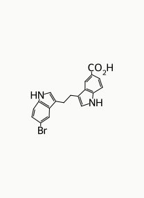 O=C(O)c1ccc2[nH]cc(CCc3c[nH]c4ccc(Br)cc34)c2c1